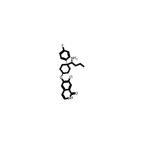 CCC[C@H](N)[C@]1(c2ccc(F)cc2)CC[C@H](Oc2cc3cc[nH]c(=O)c3cc2Cl)CC1